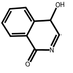 O=C1N=[C]C(O)c2ccccc21